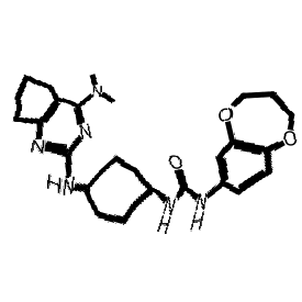 CN(C)c1nc(NC2CCC(NC(=O)Nc3ccc4c(c3)OCCCO4)CC2)nc2c1CCCC2